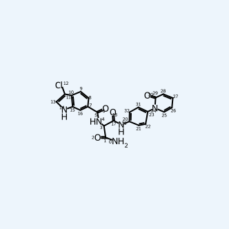 NC(=O)C(NC(=O)c1ccc2c(Cl)c[nH]c2c1)C(=O)Nc1ccc(-n2ccccc2=O)cc1